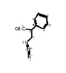 [N-]=[N+]=NCC(C=O)c1ccccc1